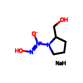 [NaH].[O-][N+](=NO)N1CCCC1CO